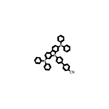 N#Cc1ccc(-c2ccc(-n3c4cc(N(c5ccccc5)c5ccccc5)ccc4c4ccc(N(c5ccccc5)c5ccccc5)cc43)cc2)cc1